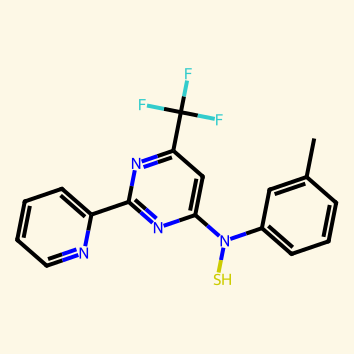 Cc1cccc(N(S)c2cc(C(F)(F)F)nc(-c3ccccn3)n2)c1